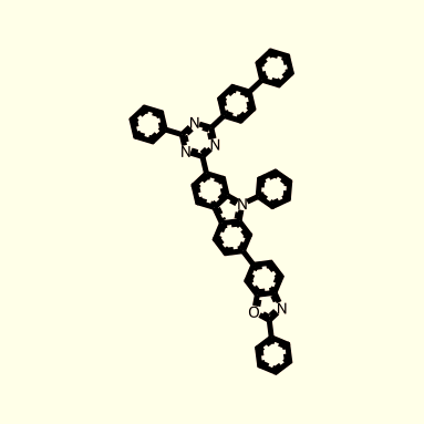 c1ccc(-c2ccc(-c3nc(-c4ccccc4)nc(-c4ccc5c6ccc(-c7ccc8nc(-c9ccccc9)oc8c7)cc6n(-c6ccccc6)c5c4)n3)cc2)cc1